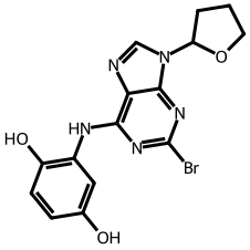 Oc1ccc(O)c(Nc2nc(Br)nc3c2ncn3C2CCCO2)c1